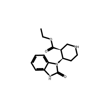 CCOC(=O)[C@H]1CNCC[C@H]1n1c(=O)[nH]c2ccccc21